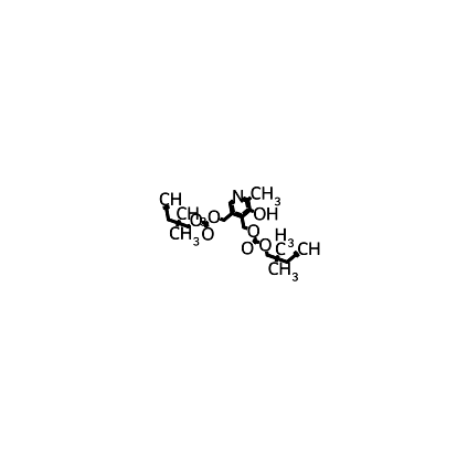 C#CCC(C)(C)COC(=O)OCc1cnc(C)c(O)c1COC(=O)OCC(C)(C)CC#C